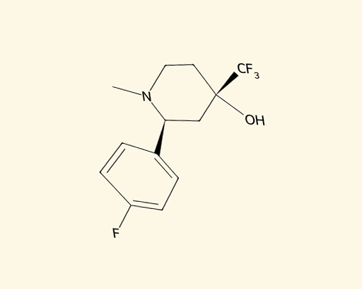 CN1CC[C@@](O)(C(F)(F)F)C[C@H]1c1ccc(F)cc1